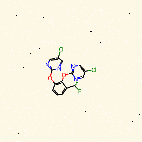 FC(F)c1cccc(Oc2ncc(Cl)cn2)c1Oc1ncc(Cl)cn1